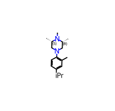 Cc1cc(C(C)C)ccc1N1C[C@@H](C)N(C)[C@@H](C)C1